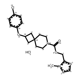 Cl.Cn1ncnc1COC(=O)N1CCC2(CC1)CC(Oc1ccc(Cl)cc1)C2